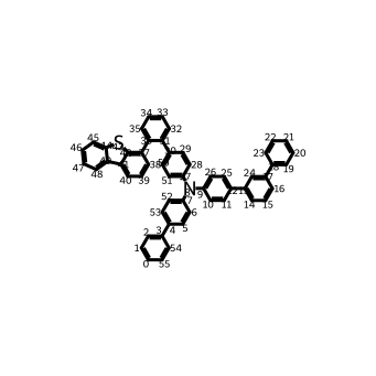 c1ccc(-c2ccc(N(c3ccc(-c4cccc(-c5ccccc5)c4)cc3)c3ccc(-c4ccccc4-c4cccc5c4sc4ccccc45)cc3)cc2)cc1